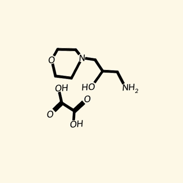 NCC(O)CN1CCOCC1.O=C(O)C(=O)O